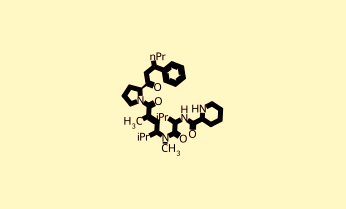 CCCC(CC(=O)[C@@H]1CCCN1C(=O)/C(C)=C/C(C(C)C)N(C)C(=O)C(NC(=O)C1CCCCN1)C(C)C)c1ccccc1